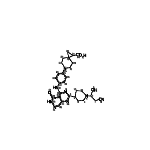 N#CCC(O)N1CCC(c2nc(Nc3ccc(N4CCC5(CC4)CC5C(=O)O)cc3)c3c(=O)[nH]ncc3n2)CC1